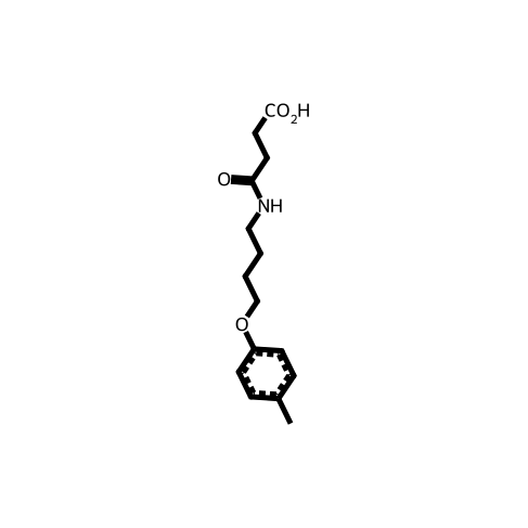 Cc1ccc(OCCCCNC(=O)CCC(=O)O)cc1